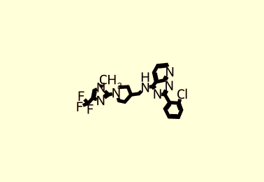 Cn1cc(C(F)(F)F)nc1N1CCC(CNc2nc(-c3ccccc3Cl)nc3ncccc23)CC1